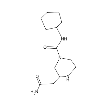 NC(=O)CC1CN(C(=O)NC2CCCCC2)CCN1